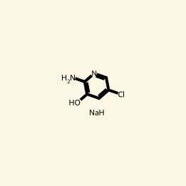 Nc1ncc(Cl)cc1O.[NaH]